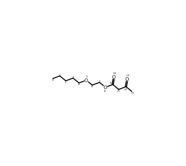 CCCCCOCCOC(=O)CC(C)=O